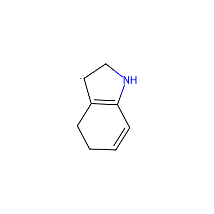 [CH]1CNC2=C1CCC=C2